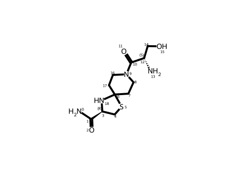 NC(=O)[C@@H]1CSC2(CCN(C(=O)[C@@H](N)CO)CC2)N1